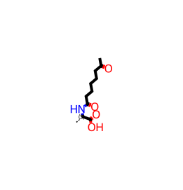 CC(=O)CCCCCC(=O)N[C@@H](C)C(=O)O